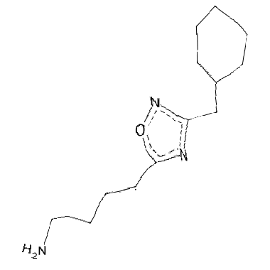 NCCC[CH]c1nc(CC2CCCCC2)no1